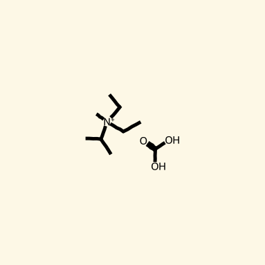 CC[N+](C)(CC)C(C)C.O=C(O)O